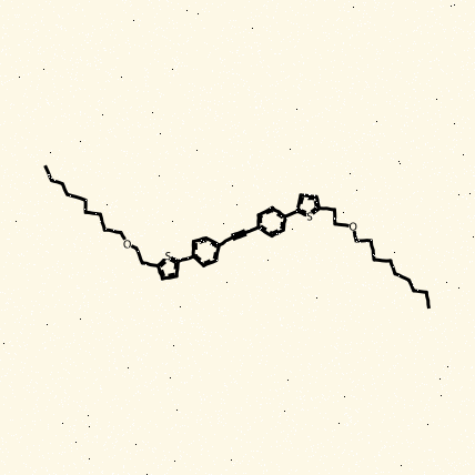 CCCCCCCCCOCCc1ccc(-c2ccc(C#Cc3ccc(-c4ccc(CCOCCCCCCCCC)s4)cc3)cc2)s1